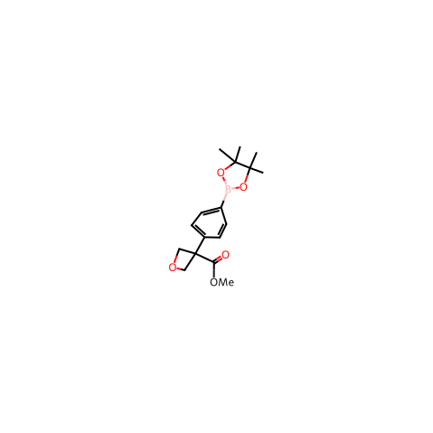 COC(=O)C1(c2ccc(B3OC(C)(C)C(C)(C)O3)cc2)COC1